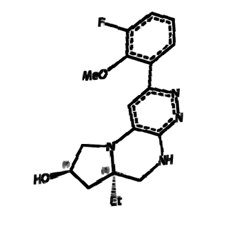 CC[C@@]12CNc3nnc(-c4cccc(F)c4OC)cc3N1C[C@H](O)C2